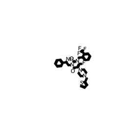 Cc1c(N2CCN(Cc3cccs3)CC2)c(=O)n(CC(N)c2ccccc2)c(=O)n1Cc1c(F)cccc1C(F)(F)F